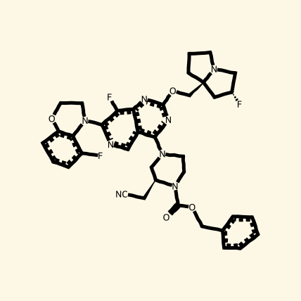 N#CC[C@H]1CN(c2nc(OC[C@@]34CCCN3C[C@H](F)C4)nc3c(F)c(N4CCOc5cccc(F)c54)ncc23)CCN1C(=O)OCc1ccccc1